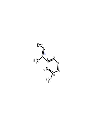 CC/N=C(\C)c1cccc(C(F)(F)F)n1